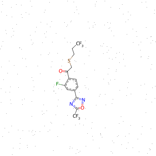 O=C(CSCCC(F)(F)F)c1ccc(-c2noc(C(F)(F)F)n2)cc1F